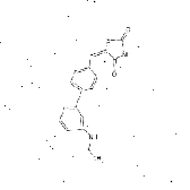 CCNc1cccc(-c2ccc(C=C3SC(=O)NC3=O)cc2)c1